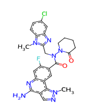 Cn1ncc2c(N)nc3cc(F)c(C(=O)N(Cc4nc5cc(Cl)ccc5n4C)N4CCCCC4=O)cc3c21